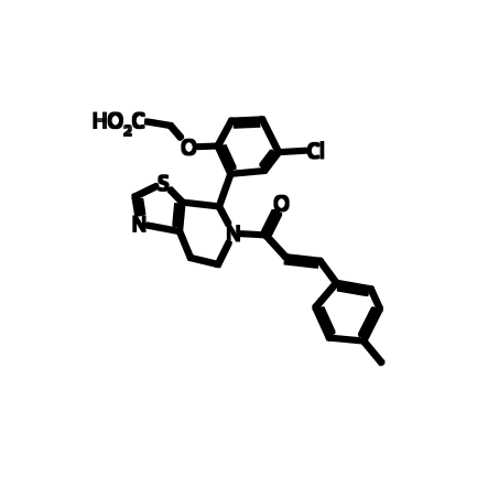 Cc1ccc(C=CC(=O)N2CCc3ncsc3C2c2cc(Cl)ccc2OCC(=O)O)cc1